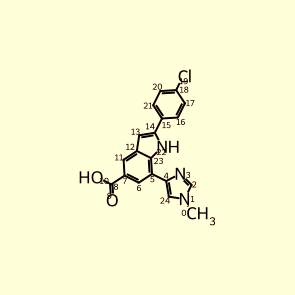 Cn1cnc(-c2cc(C(=O)O)cc3cc(-c4ccc(Cl)cc4)[nH]c23)c1